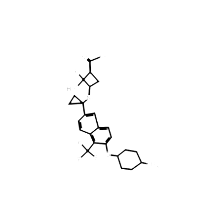 CC1CCC(Oc2ccc3cc(C4(NC5CC(C(=O)O)C5(C)C)CC4)ccc3c2C(F)(F)F)CC1